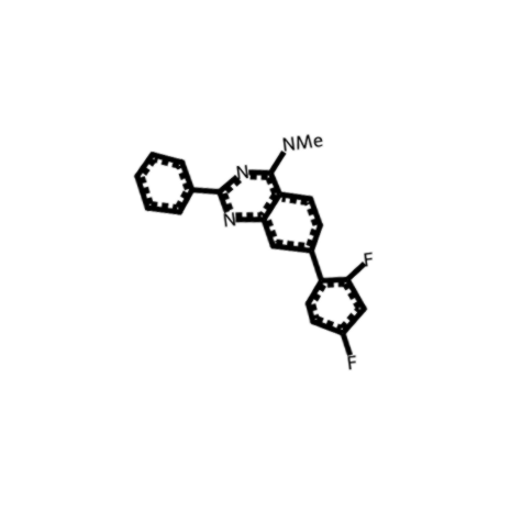 CNc1nc(-c2ccccc2)nc2cc(-c3ccc(F)cc3F)ccc12